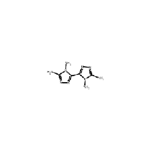 Nc1nnc(-c2nnc(N)n2N)n1N